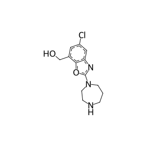 OCc1cc(Cl)cc2nc(N3CCCNCC3)oc12